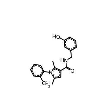 Cc1cc(C(=O)NCc2cccc(O)c2)c(C)n1-c1ccccc1C(F)(F)F